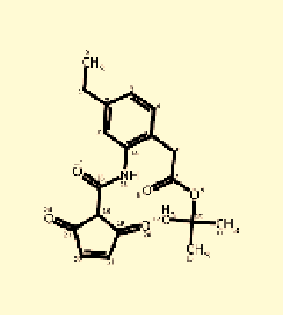 CCc1ccc(CC(=O)OC(C)(C)C)c(NC(=O)C2C(=O)C=CC2=O)c1